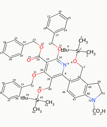 CC(C)(C)[Si](C)(C)OCc1c(-c2nc(OCc3ccccc3)c(C(=O)OCc3ccccc3)c(OCc3ccccc3)c2CO[Si](C)(C)C(C)(C)C)ccc2c1CCN2C(=O)O